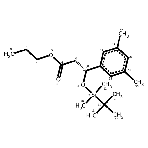 CCCOC(=O)C[C@@H](O[Si](C)(C)C(C)(C)C)c1cc(C)cc(C)c1